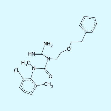 Cc1cccc(Cl)c1N(C)C(=O)N(CCOCCc1ccccc1)C(=N)N